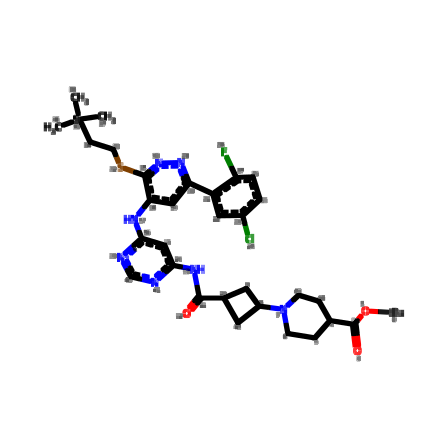 CC(C)(C)OC(=O)C1CCN(C2CC(C(=O)Nc3cc(Nc4cc(-c5cc(Cl)ccc5F)nnc4SCC[Si](C)(C)C)ncn3)C2)CC1